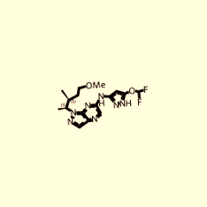 COCC[C@H](C)[C@H](C)n1ncc2ncc(Nc3cc(OC(F)F)[nH]n3)nc21